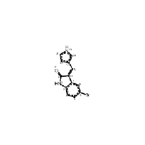 O=C1Nc2ccc(Br)cc2C1=Cc1cc[nH]c1